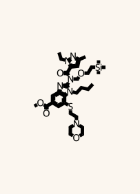 CCCCn1c(N(COCC[Si](C)(C)C)C(=O)c2cc(C)nn2CC)nc2cc(C(=O)OC)cc(SCCN3CCOCC3)c21